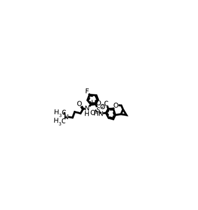 CN(C)CCCC(=O)Nc1cc(F)ccc1S(=O)(=O)Nc1ccc2c(c1C(=O)O)OCC1CC21